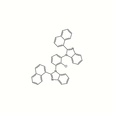 Clc1c(-n2c(-c3cccc4ccccc34)nc3ccccc32)cccc1-n1c(-c2cccc3ccccc23)nc2ccccc21